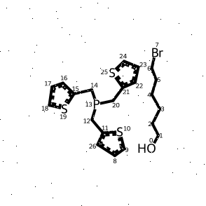 OCCCCCCBr.c1csc(CP(Cc2cccs2)Cc2cccs2)c1